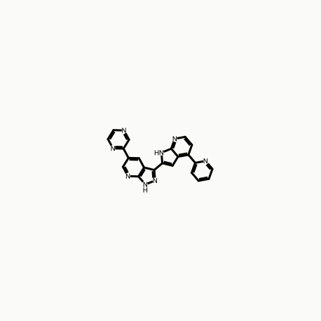 c1ccc(-c2ccnc3[nH]c(-c4n[nH]c5ncc(-c6cnccn6)cc45)cc23)nc1